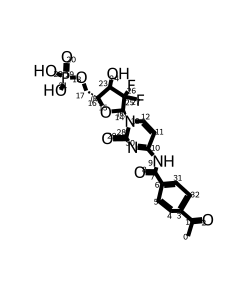 CC(=O)c1ccc(C(=O)Nc2ccn([C@@H]3O[C@H](COP(=O)(O)O)C(O)C3(F)F)c(=O)n2)cc1